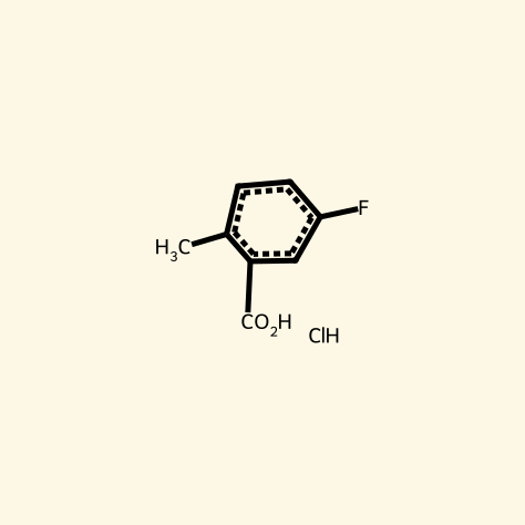 Cc1ccc(F)cc1C(=O)O.Cl